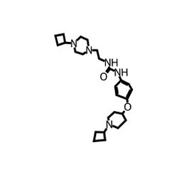 O=C(NCCN1CCN(C2CCC2)CC1)Nc1ccc(OC2CCN(C3CCC3)CC2)cc1